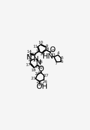 O=C(NC1CCCC1)c1cccc(-c2cnc3ccc(OC4CCC(O)CC4)nn23)c1